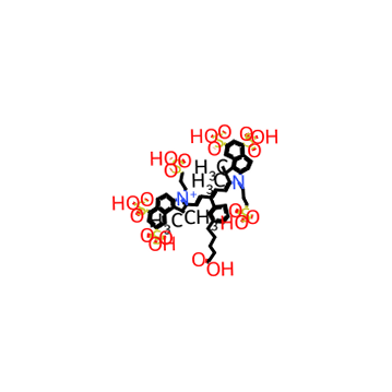 CC1(C)C(/C=C/C(=C/C=C2/N(CCCS(=O)(=O)O)c3ccc4c(S(=O)(=O)O)cc(S(=O)(=O)O)cc4c3C2(C)C)c2cccc(CCCCC(=O)O)c2)=[N+](CCCS(=O)(=O)O)c2ccc3c(S(=O)(=O)O)cc(S(=O)(=O)O)cc3c21